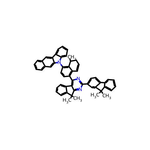 CC1CC=Cc2c(-c3nc(-c4ccc5c(c4)C(C)(C)c4ccccc4-5)nc4c3-c3ccccc3C4(C)C)ccc(-n3c4ccccc4c4cc5ccccc5cc43)c21